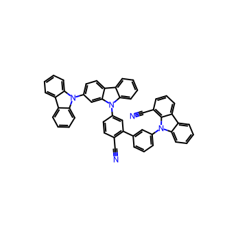 N#Cc1ccc(-n2c3ccccc3c3ccc(-n4c5ccccc5c5ccccc54)cc32)cc1-c1cccc(-n2c3ccccc3c3cccc(C#N)c32)c1